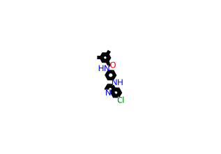 Cc1cc(C)cc(C(=O)N[C@H]2CC[C@@H](Nc3ccnc4cc(Cl)ccc34)CC2)c1